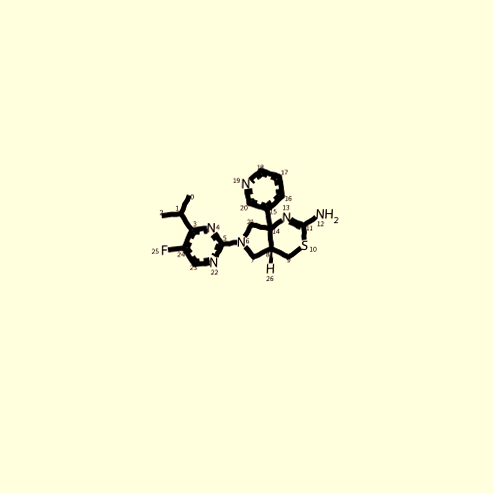 CC(C)c1nc(N2C[C@H]3CSC(N)=NC3(c3cccnc3)C2)ncc1F